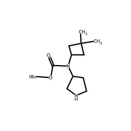 CC1(C)CC(N(C(=O)OC(C)(C)C)C2CCNC2)C1